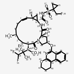 CC[C@@H]1C[C@@H](C)CC/C=C\[C@@H]2C[C@@]2(C(=O)NS(=O)(=O)C2(CF)CC2)NC(=O)[C@@H]2C[C@@H](Oc3nc4c(c5ccccc35)CCCO4)CN2C(=O)[C@H]1N(C(=O)O)C(C)(C)C(F)F